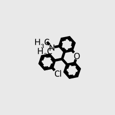 CN(C)c1cccc2c1C(c1ccccc1Cl)c1ccccc1O2